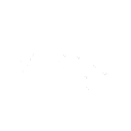 Cc1ncn2c1c(N)nc1cnc(C(=O)N3CCC[C@@H]4Oc5c(ccc(OC(F)(F)F)c5F)[C@@H]43)cc12